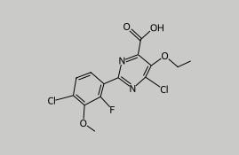 CCOc1c(Cl)nc(-c2ccc(Cl)c(OC)c2F)nc1C(=O)O